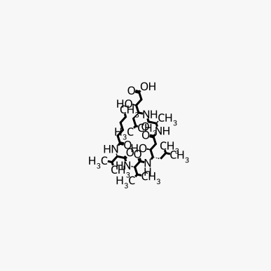 CCCCCC(=O)N[C@H](C(=O)N[C@H](C(=O)N[C@@H](CC(C)C)[C@@H](O)CC(=O)N[C@@H](C)C(=O)N[C@@H](CC(C)C)[C@@H](O)CC(=O)O)C(C)C)C(C)C